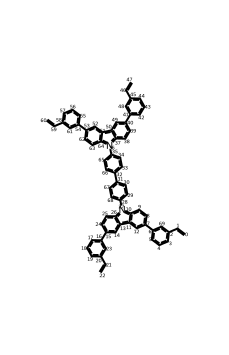 C=Cc1cccc(-c2ccc3c(c2)c2cc(-c4cccc(C=C)c4)ccc2n3-c2ccc(-c3ccc(-n4c5ccc(-c6cccc(C=C)c6)cc5c5cc(-c6cccc(C=C)c6)ccc54)cc3)cc2)c1